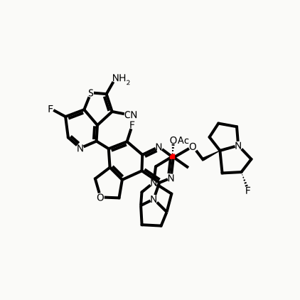 CC(=O)O[C@H](C)CN1CC2CCC(C1)N2c1nc(OC[C@@]23CCCN2C[C@H](F)C3)nc2c(F)c(-c3ncc(F)c4sc(N)c(C#N)c34)c3c(c12)COC3